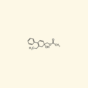 CCC1=C(c2ccccc2)C=CC(O)(COC(C)=O)C1